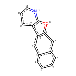 c1ccc2cc3c(cc2c1)oc1ncccc13